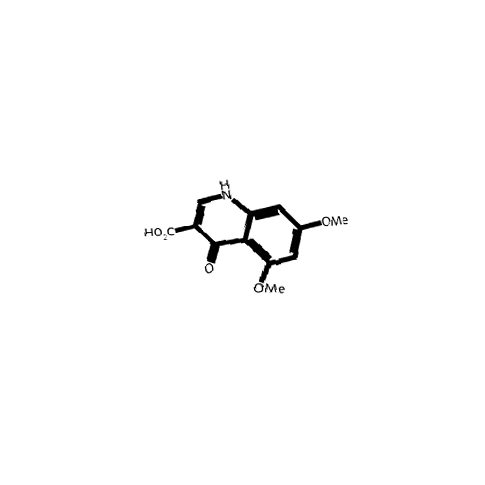 COc1cc(OC)c2c(=O)c(C(=O)O)c[nH]c2c1